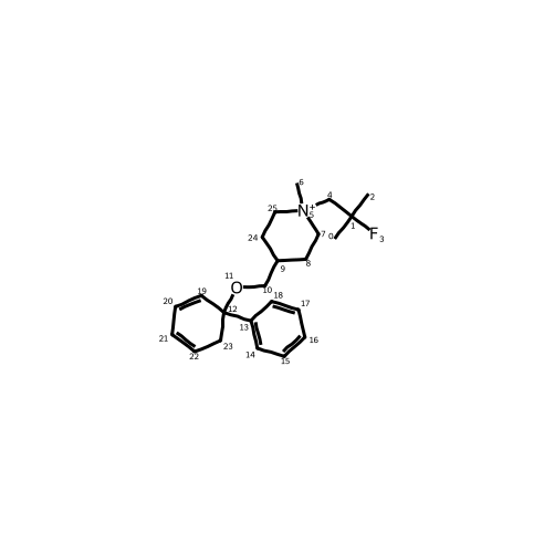 CC(C)(F)C[N+]1(C)CCC(COC2(c3ccccc3)C=CC=CC2)CC1